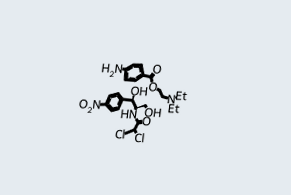 CCN(CC)CCOC(=O)c1ccc(N)cc1.O=C(N[C@H](CO)[C@H](O)c1ccc([N+](=O)[O-])cc1)C(Cl)Cl